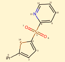 CC(C)c1ccc(S(=O)(=O)c2ccccn2)s1